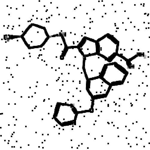 N=C(N)c1ccc2cc(C(=O)N[C@H]3CC[C@H](N)CC3)n(Cc3cc(Oc4ncccn4)cc4ccccc34)c2c1